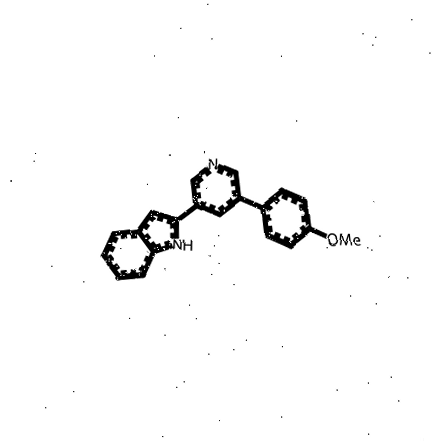 COc1ccc(-c2cncc(-c3cc4ccccc4[nH]3)c2)cc1